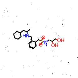 CC(CC1CCCCC1)NCc1ccccc1CS(=O)(=O)N(C)C[C@H](O)CO